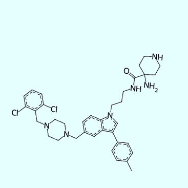 Cc1ccc(-c2cn(CCCNC(=O)C3(N)CCNCC3)c3ccc(CN4CCN(Cc5c(Cl)cccc5Cl)CC4)cc23)cc1